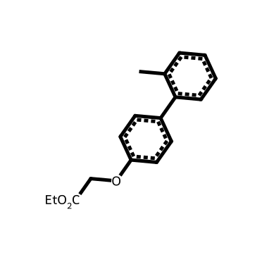 CCOC(=O)COc1ccc(-c2ccccc2C)cc1